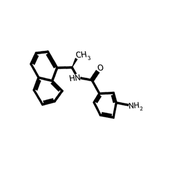 C[C@@H](NC(=O)c1cccc(N)c1)c1cccc2ccccc12